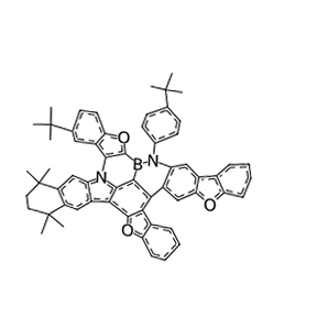 CC(C)(C)c1ccc(N2B3c4oc5ccc(C(C)(C)C)cc5c4-n4c5cc6c(cc5c5c7oc8ccccc8c7c(c3c54)-c3cc4oc5ccccc5c4cc32)C(C)(C)CCC6(C)C)cc1